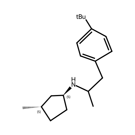 CC(Cc1ccc(C(C)(C)C)cc1)N[C@H]1CC[C@H](C)C1